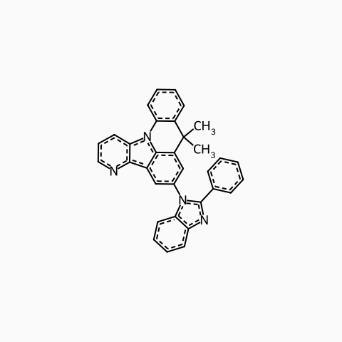 CC1(C)c2ccccc2-n2c3cccnc3c3cc(-n4c(-c5ccccc5)nc5ccccc54)cc1c32